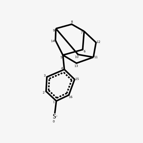 [S]c1ccc(C23CC4CC(CC(C4)C2)C3)cc1